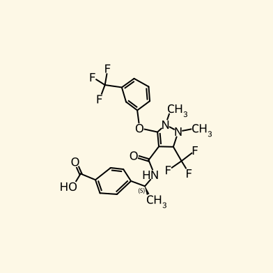 C[C@H](NC(=O)C1=C(Oc2cccc(C(F)(F)F)c2)N(C)N(C)C1C(F)(F)F)c1ccc(C(=O)O)cc1